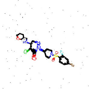 O=c1c(Cl)c(NC[C@@H]2CCCOC2)cnn1C1CCN(S(=O)(=O)c2ccc(Br)cc2F)CC1